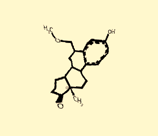 COCC1CC2C(CC[C@]3(C)C(=O)CCC23)c2ccc(O)cc21